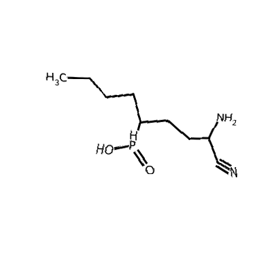 CCCCC(CCC(N)C#N)[PH](=O)O